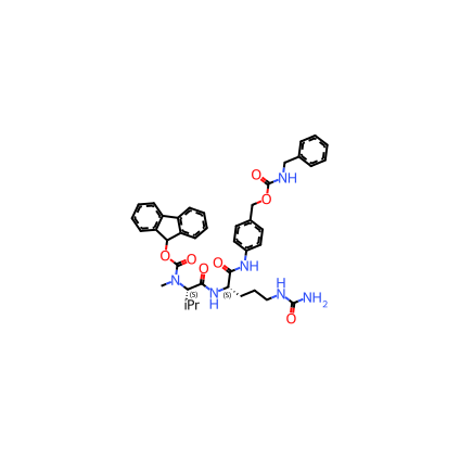 CC(C)[C@@H](C(=O)N[C@@H](CCCNC(N)=O)C(=O)Nc1ccc(COC(=O)NCc2ccccc2)cc1)N(C)C(=O)OC1c2ccccc2-c2ccccc21